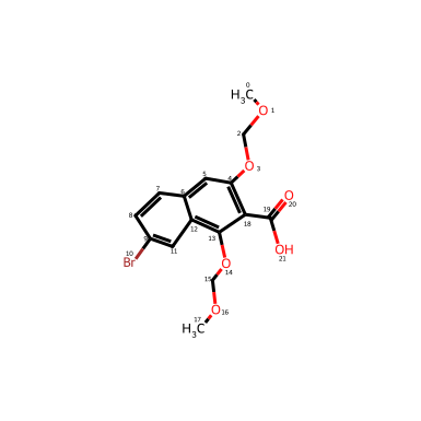 COCOc1cc2ccc(Br)cc2c(OCOC)c1C(=O)O